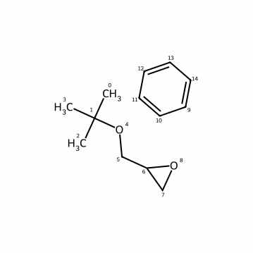 CC(C)(C)OCC1CO1.c1ccccc1